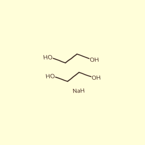 OCCO.OCCO.[NaH]